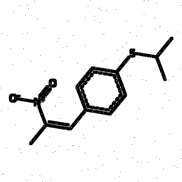 CC(=Cc1ccc(SC(C)C)cc1)[N+](=O)[O-]